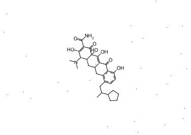 CC(Cc1ccc(O)c2c1CC1CC3C(N(C)C)C(O)=C(C(N)=O)C(=O)C3(O)C(O)=C1C2=O)C1CCCC1